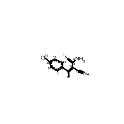 CC(=C(C#N)C(N)=S)c1ccc(Cl)cc1